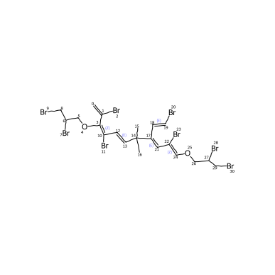 C=C(Br)/C(OCC(Br)CBr)=C(Br)\C=C\C(C)(C)C(/C=C/Br)=C/C(Br)=C/OCC(Br)CBr